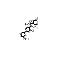 C[C@H](c1ccc(-c2cccc(C(=O)O)c2)cc1Cl)[C@@](O)(c1ccnc(Cl)c1)C(F)(F)F